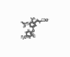 C[S+](C)C.O=C([O-])C=Cc1cc(Oc2ccc(C(F)(F)F)cc2Cl)ccc1[N+](=O)[O-]